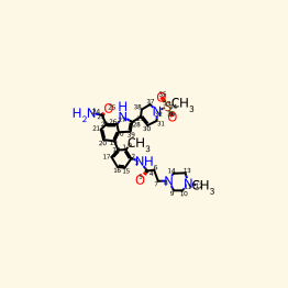 Cc1c(NC(=O)CCN2CCN(C)CC2)cccc1-c1ccc(C(N)=O)c2[nH]c(C3=CCN(S(C)(=O)=O)CC3)cc12